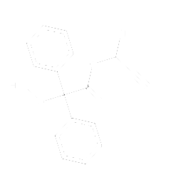 C#CC(C)OC(=O)C(OC)(c1ccccc1)c1ccccc1